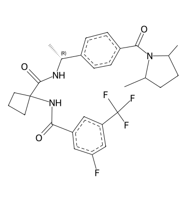 CC1CCC(C)N1C(=O)c1ccc([C@@H](C)NC(=O)C2(NC(=O)c3cc(F)cc(C(F)(F)F)c3)CCC2)cc1